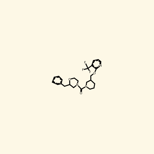 O=C(N1CCCC(COc2ncccc2C(F)(F)F)C1)N1CCOC(Cc2ccccc2)C1